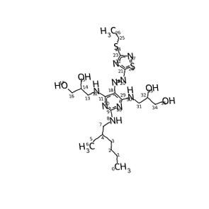 CCCCC(CC)CNc1nc(NCC(O)CO)c(N=Nc2nc(SCC)ns2)c(NCC(O)CO)n1